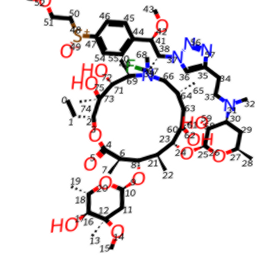 CC[C@H]1OC(=O)[C@H](C)[C@@H](O[C@H]2C[C@@](C)(OC)[C@@H](O)[C@H](C)O2)[C@H](C)[C@@H](O[C@@H]2O[C@H](C)C[C@H](N(C)CCc3cn([C@H](CF)[C@H](OC)c4ccc([S+]([O-])CCOC)cc4)nn3)[C@H]2O)[C@](C)(O)C[C@@H](C)CN(C)[C@H](C)[C@@H](O)[C@]1(C)O